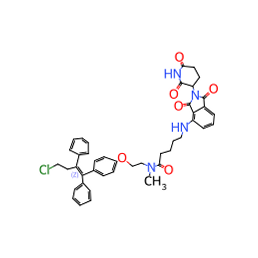 CN(CCOc1ccc(/C(=C(/CCCl)c2ccccc2)c2ccccc2)cc1)C(=O)CCCCNc1cccc2c1C(=O)N(C1CCC(=O)NC1=O)C2=O